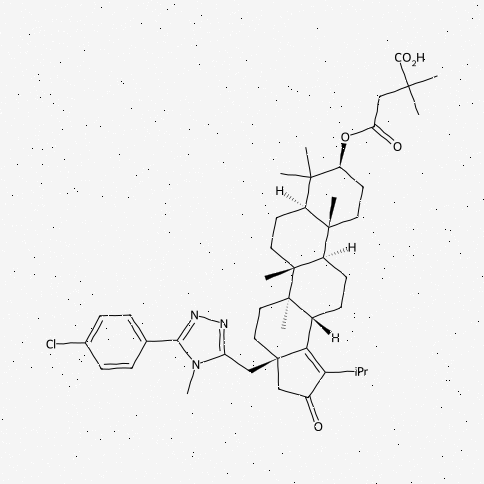 CC(C)C1=C2[C@H]3CC[C@@H]4[C@@]5(C)CC[C@H](OC(=O)CC(C)(C)C(=O)O)C(C)(C)[C@@H]5CC[C@@]4(C)[C@]3(C)CC[C@@]2(Cc2nnc(-c3ccc(Cl)cc3)n2C)CC1=O